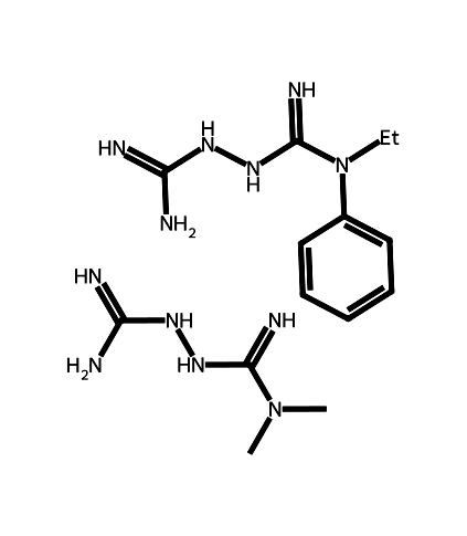 CCN(C(=N)NNC(=N)N)c1ccccc1.CN(C)C(=N)NNC(=N)N